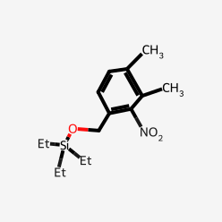 CC[Si](CC)(CC)OCc1ccc(C)c(C)c1[N+](=O)[O-]